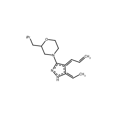 C=C/C=c1/c(N2CCOC(CC(C)C)C2)n[nH]/c1=C/C